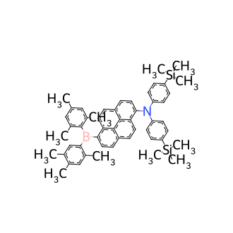 Cc1cc(C)c(B(c2cc(C)c(C)cc2C)c2ccc3ccc4c(N(c5ccc([Si](C)(C)C)cc5)c5ccc([Si](C)(C)C)cc5)ccc5ccc2c3c54)c(C)c1